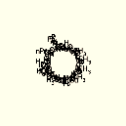 CCCOCC1NC(=O)C(CCN2CC(F)(F)C2)N(C)C(=O)CNC(=O)CN(C)C(=O)CN(C)C(=O)CN(C)C(=O)CN(C)C(=O)C([C@@H](C)CC)NC(=O)C(C)N(C)C(=O)CC(C(=O)N2CCCCC2)N(C)C(=O)C(C(C)C)N(C)C1=O